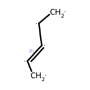 [CH2]/[C]=[C]/[CH][CH2]